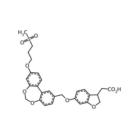 CS(=O)(=O)CCCOc1ccc2c(c1)OCOc1ccc(COc3ccc4c(c3)OCC4CC(=O)O)cc1-2